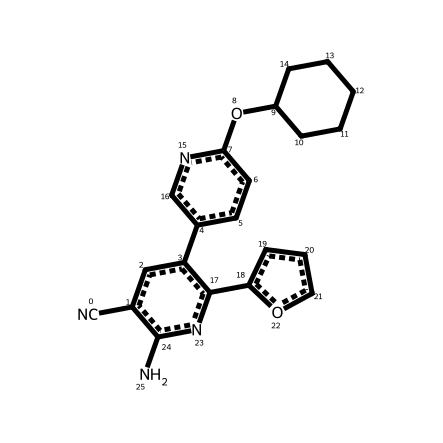 N#Cc1cc(-c2ccc(OC3CCCCC3)nc2)c(-c2ccco2)nc1N